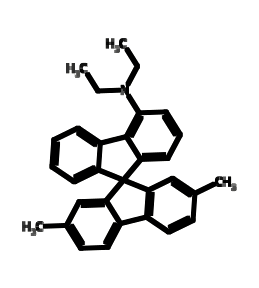 CCN(CC)c1cccc2c1-c1ccccc1C21c2cc(C)ccc2-c2ccc(C)cc21